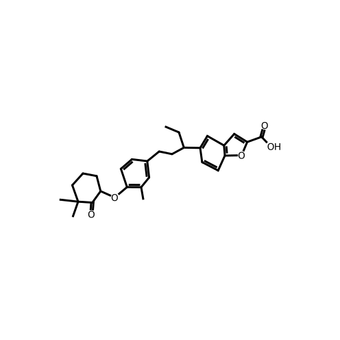 CCC(CCc1ccc(OC2CCCC(C)(C)C2=O)c(C)c1)c1ccc2oc(C(=O)O)cc2c1